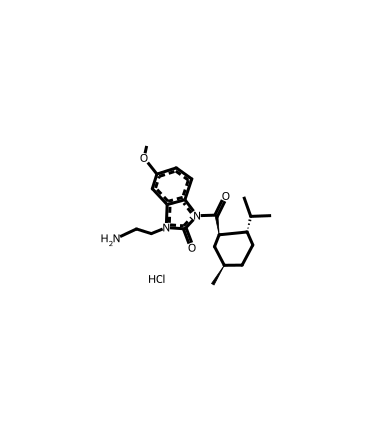 COc1ccc2c(c1)n(CCN)c(=O)n2C(=O)[C@@H]1C[C@H](C)CC[C@H]1C(C)C.Cl